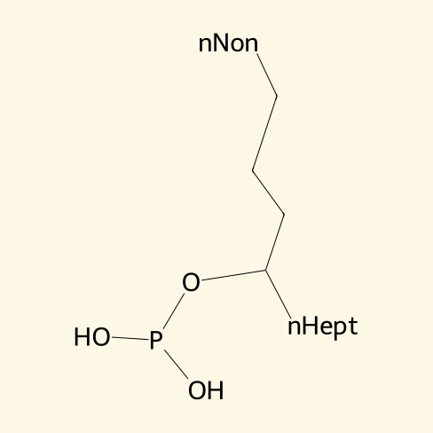 CCCCCCCCCCCCC(CCCCCCC)OP(O)O